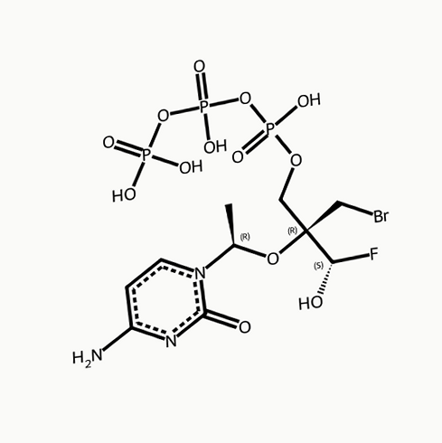 C[C@@H](O[C@](CBr)(COP(=O)(O)OP(=O)(O)OP(=O)(O)O)[C@@H](O)F)n1ccc(N)nc1=O